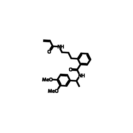 C=CC(=O)NCCCc1ccccc1C(=O)NC(C)c1ccc(OC)c(OC)c1